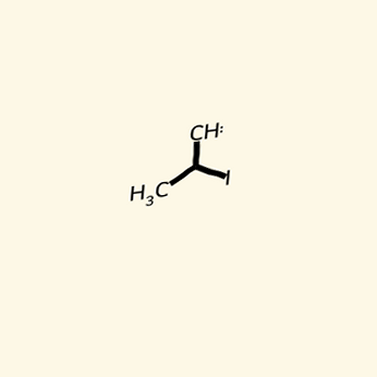 [CH]C(C)I